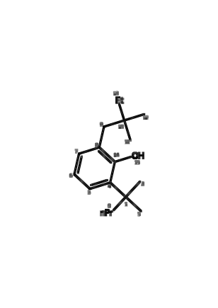 CCCC(C)(C)c1cccc(CC(C)(C)CC)c1O